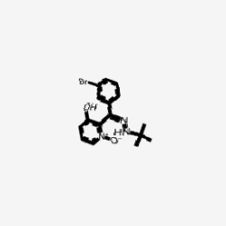 CC(C)(C)NN=C(c1cccc(Br)c1)c1c(O)ccc[n+]1[O-]